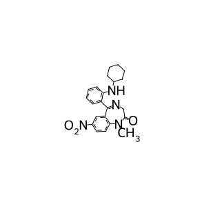 CN1C(=O)CN=C(c2ccccc2NC2CCCCC2)c2cc([N+](=O)[O-])ccc21